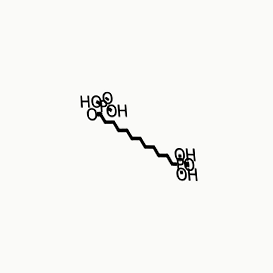 O=C(CCCCCCCCCCCP(=O)(O)O)P(=O)(O)O